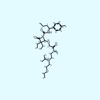 CCCC(NC(=O)N1C(=O)C(CC)(CC)C1OCC(=O)N(C)CCN(CCOCC)C(C)C)c1ccc(C)cc1